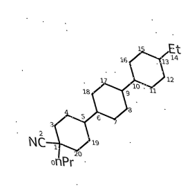 CCCC1(C#N)CCC(C2CCC(C3CCC(CC)CC3)CC2)CC1